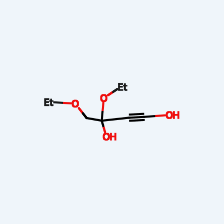 CCOCC(O)(C#CO)OCC